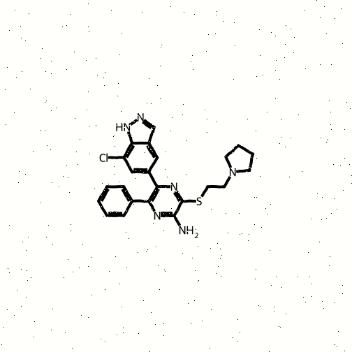 Nc1nc(-c2ccccc2)c(-c2cc(Cl)c3[nH]ncc3c2)nc1SCCN1CCCC1